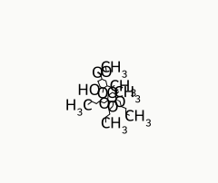 CCCCOC1C(OC2C(CC)CC(C(=O)OC)C[C@H]2O)OC(C)[C@@H](OCCCC)C1OCCCC